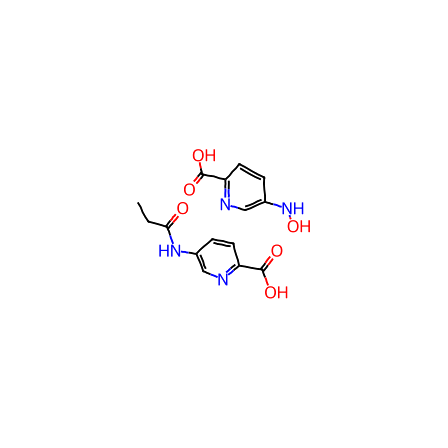 CCC(=O)Nc1ccc(C(=O)O)nc1.O=C(O)c1ccc(NO)cn1